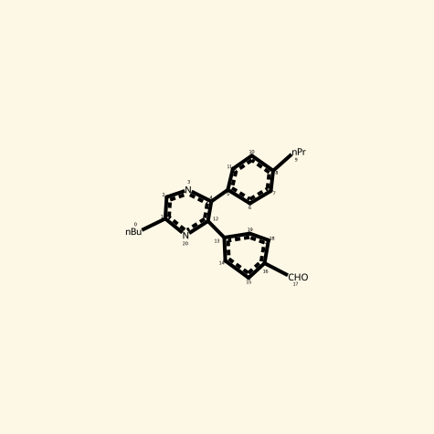 CCCCc1cnc(-c2ccc(CCC)cc2)c(-c2ccc(C=O)cc2)n1